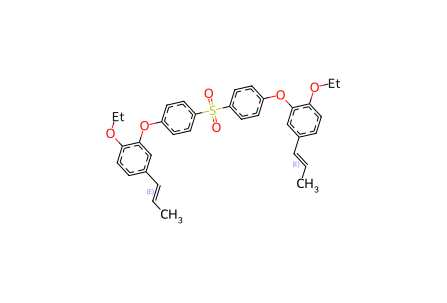 C/C=C/c1ccc(OCC)c(Oc2ccc(S(=O)(=O)c3ccc(Oc4cc(/C=C/C)ccc4OCC)cc3)cc2)c1